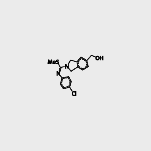 CS/C(=N/c1ccc(Cl)cc1)N1Cc2ccc(CO)cc2C1